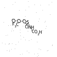 O=C(O)CCNCc1sc2ccc(-c3ccc(-c4ccccc4)c(C(F)(F)F)c3)cc2c1Cl